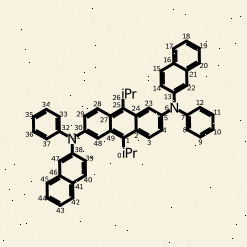 CC(C)c1c2ccc(N(c3ccccc3)c3ccc4ccccc4c3)cc2c(C(C)C)c2ccc(N(c3ccccc3)c3ccc4ccccc4c3)cc12